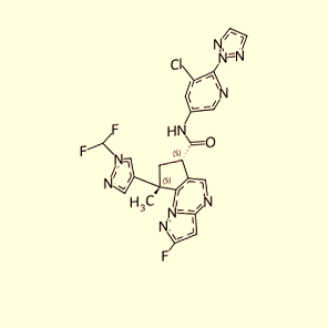 C[C@@]1(c2cnn(C(F)F)c2)C[C@H](C(=O)Nc2cnc(-n3nccn3)c(Cl)c2)c2cnc3cc(F)nn3c21